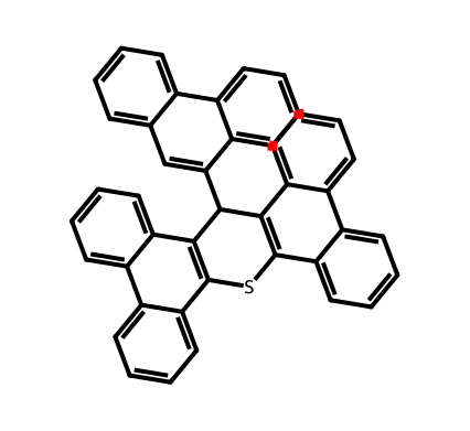 c1ccc2c(c1)cc(C1c3c(c4ccccc4c4ccccc34)Sc3c1c1ccccc1c1ccccc31)c1ccccc12